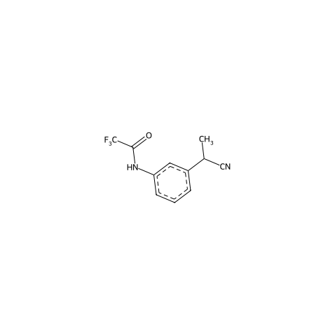 CC(C#N)c1cccc(NC(=O)C(F)(F)F)c1